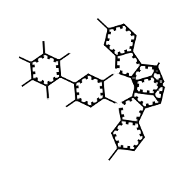 Cc1ccc2c3ccc(C)cc3n(-c3cc(-c4c(F)c(F)c(F)c(F)c4F)c(C(F)(F)F)cc3-n3c4cc(C)ccc4c4ccc(C)cc43)c2c1